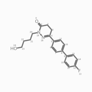 O=C1CCC(c2ccc(-c3ccc(F)cc3)cc2)=NN1CCCCO